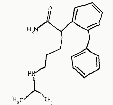 CC(C)NCCCC(C(N)=O)c1ccccc1-c1ccccc1